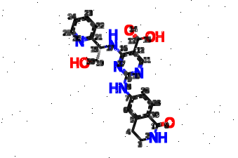 O=C1NCCc2cc(Nc3ncc(C(=O)O)c(N[C@H](CO)c4ccccn4)n3)ccc21